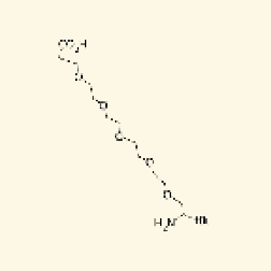 CC(C)(C)C(N)COCCOCCOCCOCCOCCC(=O)O